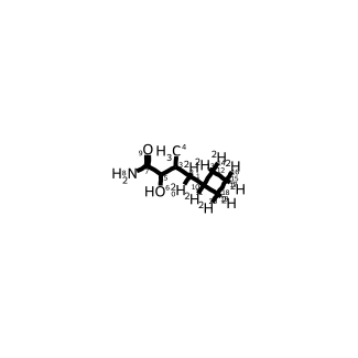 [2H]C([2H])(C(C)C(O)C(N)=O)C1([2H])C([2H])([2H])C([2H])([2H])C1([2H])[2H]